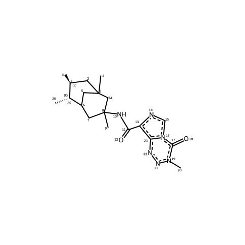 C[C@H]1CC2(C)CC(CC(C)(NC(=O)c3ncn4c(=O)n(C)nnc34)C2)[C@@H]1C